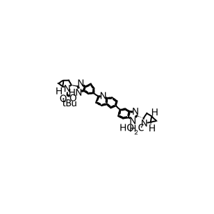 CC(C)(C)OC(=O)N1[C@@H]2CC2C[C@H]1c1nc2ccc(-c3ccc4cc(-c5ccc6[nH]c([C@@H]7C[C@H]8C[C@H]8N7C(=O)O)nc6c5)ccc4n3)cc2[nH]1